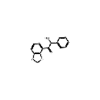 O=C(c1cccc2c1OCO2)C(O)c1ccccc1